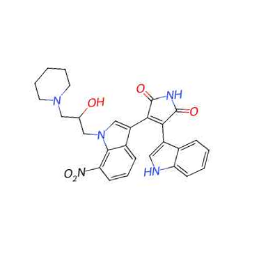 O=C1NC(=O)C(c2cn(CC(O)CN3CCCCC3)c3c([N+](=O)[O-])cccc23)=C1c1c[nH]c2ccccc12